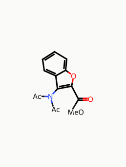 COC(=O)c1oc2ccccc2c1N(C(C)=O)C(C)=O